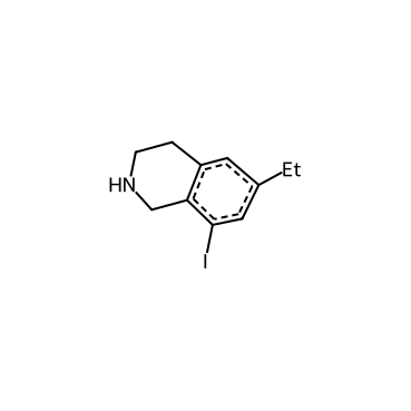 CCc1cc(I)c2c(c1)CCNC2